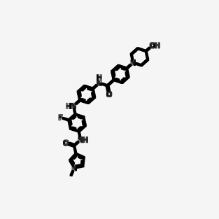 Cn1ccc(C(=O)Nc2ccc(Nc3ccc(NC(=O)c4ccc(N5CCC(O)CC5)cc4)cc3)c(F)c2)c1